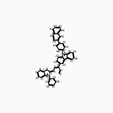 C=C/C(=C\C=C1/Cc2ccccc2N1c1ccccc1)c1ccc2c(c1)c1ccccc1n2-c1ccc(-c2ccc3ccccc3c2)cc1